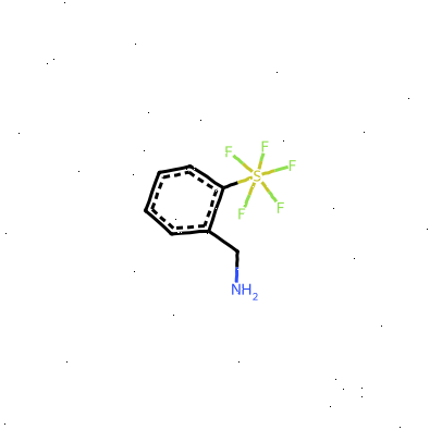 NCc1ccccc1S(F)(F)(F)(F)F